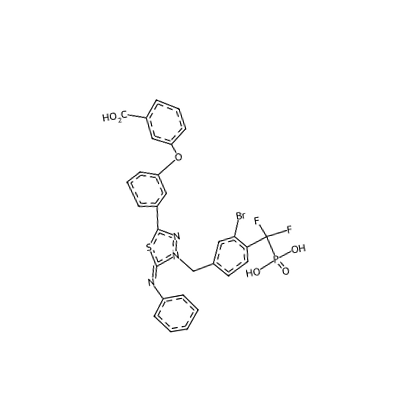 O=C(O)c1cccc(Oc2cccc(-c3nn(Cc4ccc(C(F)(F)P(=O)(O)O)c(Br)c4)/c(=N\c4ccccc4)s3)c2)c1